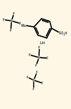 CC(C)(C)c1ccc(S(=O)(=O)O)cc1.F[B-](F)(F)F.F[B-](F)(F)F.F[B-](F)(F)F.[LiH]